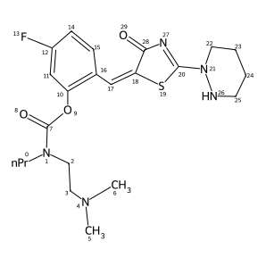 CCCN(CCN(C)C)C(=O)Oc1cc(F)ccc1/C=C1/SC(N2CCCCN2)=NC1=O